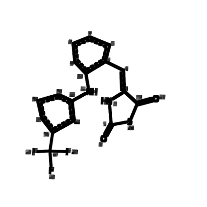 O=C1NC(=Cc2ccccc2Nc2cccc(C(F)(F)F)c2)C(=O)S1